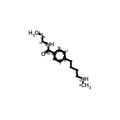 CNCCCCc1ccc(C(=O)NCSC)cc1